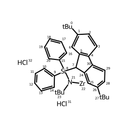 CC(C)(C)c1ccc2c(c1)C([Si](c1ccccc1)(c1ccccc1)[N]([Zr])C(C)(C)C)c1cc(C(C)(C)C)ccc1-2.Cl.Cl